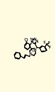 FC(F)(F)c1cccc([C@@H](c2nnnn2-c2c(Cl)cccc2Cl)N2CCN(C/C=C/c3ccccc3)CC2)c1